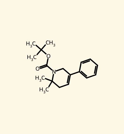 CC(C)(C)OC(=O)N1CC(c2ccccc2)=CCC1(C)C